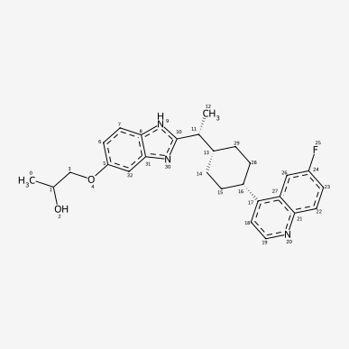 CC(O)COc1ccc2[nH]c([C@H](C)[C@H]3CC[C@@H](c4ccnc5ccc(F)cc54)CC3)nc2c1